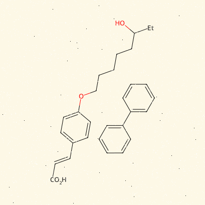 CCC(O)CCCCCOc1ccc(C=CC(=O)O)cc1.c1ccc(-c2ccccc2)cc1